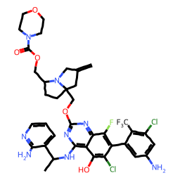 C=C1CN2C(COC(=O)N3CCOCC3)CCC2(COc2nc(NC(C)c3cccnc3N)c3c(O)c(Cl)c(-c4cc(N)cc(Cl)c4C(F)(F)F)c(F)c3n2)C1